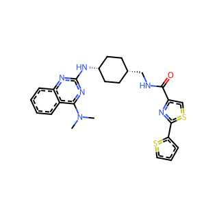 CN(C)c1nc(N[C@H]2CC[C@@H](CNC(=O)c3csc(-c4cccs4)n3)CC2)nc2ccccc12